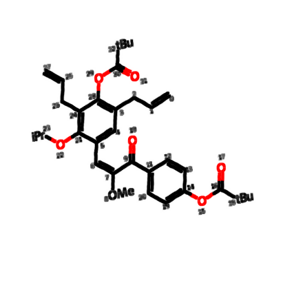 C=CCc1cc(C=C(OC)C(=O)c2ccc(OC(=O)C(C)(C)C)cc2)c(OC(C)C)c(CC=C)c1OC(=O)C(C)(C)C